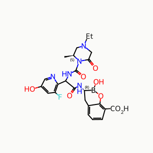 CCN1CC(=O)N(C(=O)NC(C(=O)N[C@H]2Cc3cccc(C(=O)O)c3OB2O)c2ncc(O)cc2F)[C@@H](C)C1